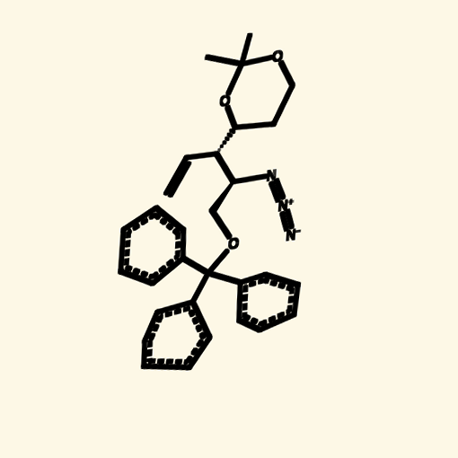 C=C[C@H](C1CCOC(C)(C)O1)[C@H](COC(c1ccccc1)(c1ccccc1)c1ccccc1)N=[N+]=[N-]